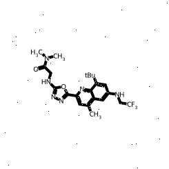 Cc1cc(-c2nnc(NCC(=O)N(C)C)o2)nc2c(C(C)(C)C)cc(NCC(F)(F)F)cc12